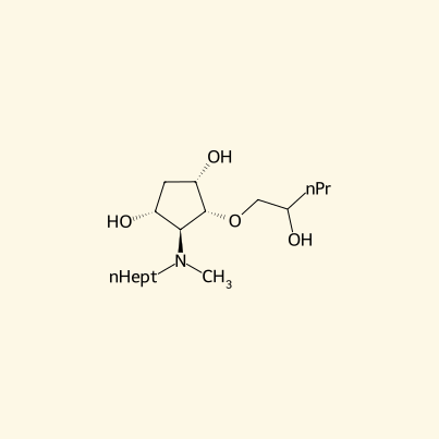 CCCCCCCN(C)[C@@H]1[C@@H](OCC(O)CCC)[C@@H](O)C[C@H]1O